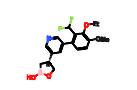 CCOc1c(OC)ccc(-c2cncc([C@@H]3COB(O)C3)c2)c1C(F)F